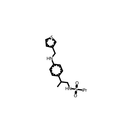 CC(CNS(=O)(=O)C(C)C)c1ccc(NCc2ccsc2)cc1